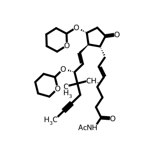 CC#CCC(C)(C)[C@@H](C=C[C@H]1[C@H](OC2CCCCO2)CC(=O)[C@@H]1CC=CCCCC(=O)NC(C)=O)OC1CCCCO1